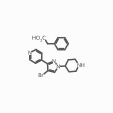 Brc1cn(C2CCNCC2)nc1-c1ccncc1.O=C(O)Cc1ccccc1